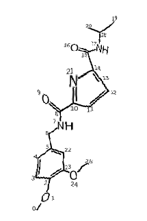 COc1ccc(CNC(=O)c2cccc(C(=O)NC(C)C)n2)cc1OC